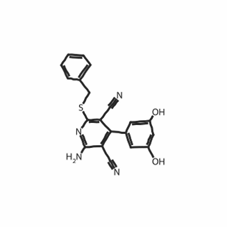 N#Cc1c(N)nc(SCc2ccccc2)c(C#N)c1-c1cc(O)cc(O)c1